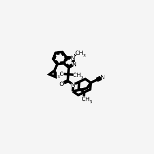 Cn1nc(C(C)(C)C(=O)N2C3CC4(C)CC2CC(C#N)(C3)C4)c2c(C3CC3)cccc21